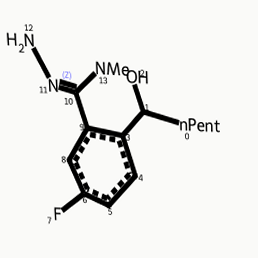 CCCCCC(O)c1ccc(F)cc1/C(=N/N)NC